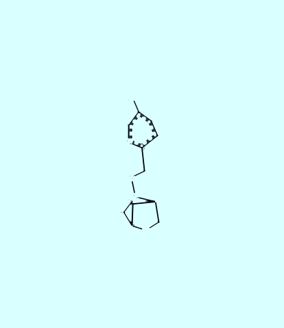 FC(F)(F)c1ccc(CNN2CC3CC2CO3)nc1